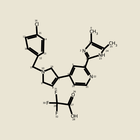 Cc1nc(-c2cc(C3=CCN(Cc4ccc(Cl)cc4)C3)ccn2)[nH]c1C.O=C(O)C(F)(F)F